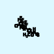 Cc1cc(C2=NO[C@](c3cc(C(F)(F)F)cc(Cl)c3F)(C(F)(F)F)C2)ccc1C(=O)NC1CSC1